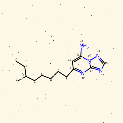 CCC(C)CCCCCc1cc(N)n2ncnc2n1